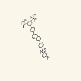 Fc1ccc2nc(-c3ccc(-c4ccc5cc(-c6ccc(-c7cc(C(F)(F)F)cc(C(F)(F)F)c7)cc6)ccc5c4)cc3)sc2c1